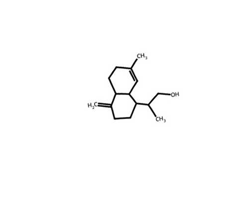 C=C1CCC(C(C)CO)C2C=C(C)CCC12